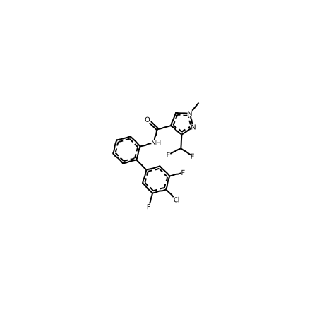 Cn1cc(C(=O)Nc2ccccc2-c2cc(F)c(Cl)c(F)c2)c(C(F)F)n1